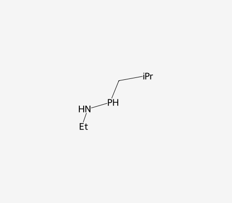 CCNPCC(C)C